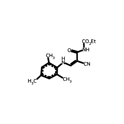 CCOC(=O)NC(=O)/C(C#N)=C\Nc1c(C)cc(C)cc1C